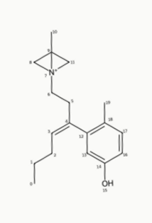 CCC/C=C(/CC[N+]12CC1(C)C2)c1cc(O)ccc1C